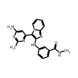 CNC(=O)c1cccc(Nc2nc3ccccn3c2-c2cc(N)nc(C)n2)c1